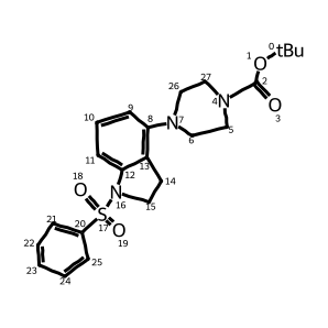 CC(C)(C)OC(=O)N1CCN(c2cccc3c2CCN3S(=O)(=O)c2ccccc2)CC1